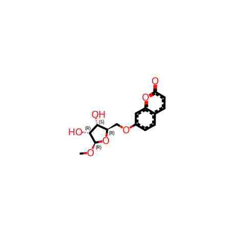 CO[C@@H]1O[C@H](COc2ccc3ccc(=O)oc3c2)[C@@H](O)[C@H]1O